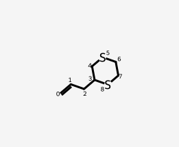 C=CCC1CSCCS1